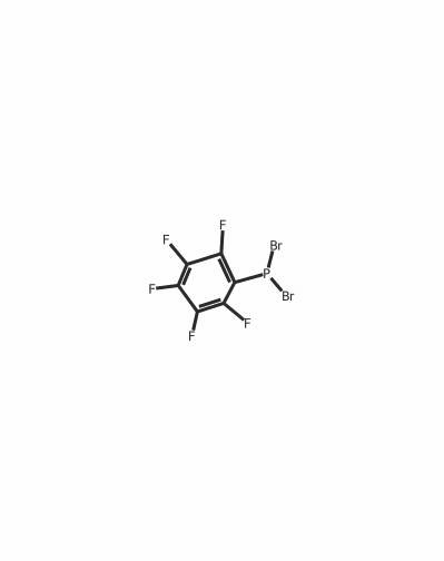 Fc1c(F)c(F)c(P(Br)Br)c(F)c1F